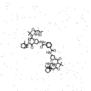 CN[C@@H](C)C(=O)NC(C(=O)N1C[C@@H](NC(=O)c2cccc(C(=O)N[C@H]3CC(C(=O)N[C@@H]4CC5CCC4(C)C5(C)C)N(C(=O)[C@@H](NC(=O)[C@H](C)NC)C(C)(C)C)C3)c2)C[C@H]1C(=O)N[C@@H]1CC2CCC1(C)C2(C)C)C(C)(C)C